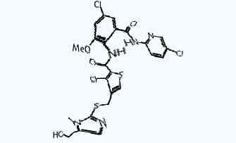 COc1cc(Cl)cc(C(=O)Nc2ccc(Cl)cn2)c1NC(=O)c1scc(CSc2ncc(CO)n2C)c1Cl